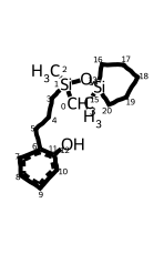 C[Si](C)(CCCc1ccccc1O)O[Si]1(C)CCCCC1